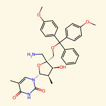 COc1ccc(C(OC[C@@]2(CN)O[C@@H](n3cc(C)c(=O)[nH]c3=O)[C@H](C)[C@@H]2O)(c2ccccc2)c2ccc(OC)cc2)cc1